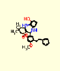 COc1ccc(C2Nc3cccc(O)c3NC3=C2S(=O)(=O)CC(C)(C)C3)cc1CCc1ccccc1